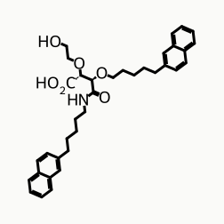 O=C(O)[C@H](OCCO)[C@@H](OCCCCCc1ccc2ccccc2c1)C(=O)NCCCCCc1ccc2ccccc2c1